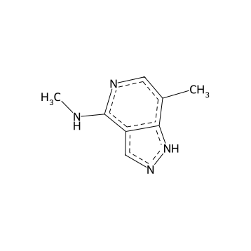 CNc1ncc(C)c2[nH]ncc12